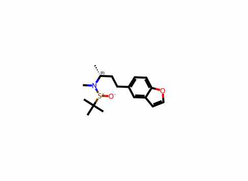 C[C@H](CCc1ccc2occc2c1)N(C)[S+]([O-])C(C)(C)C